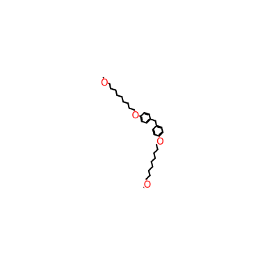 COCCCCCCCCCOc1ccc(Cc2ccc(OCCCCCCCCCOC)cc2)cc1